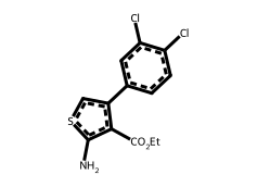 CCOC(=O)c1c(-c2ccc(Cl)c(Cl)c2)csc1N